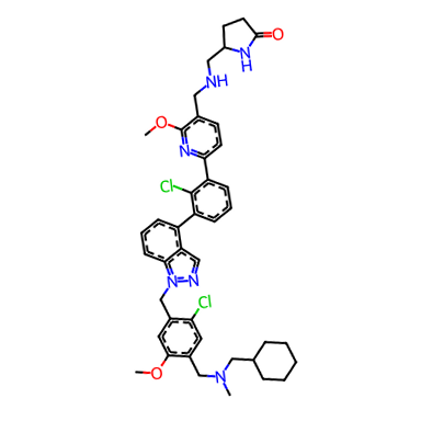 COc1cc(Cn2ncc3c(-c4cccc(-c5ccc(CNCC6CCC(=O)N6)c(OC)n5)c4Cl)cccc32)c(Cl)cc1CN(C)CC1CCCCC1